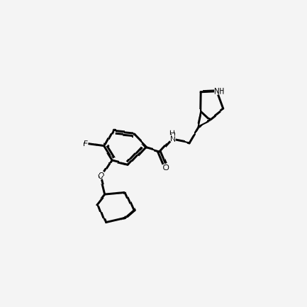 O=C(NCC1C2CNCC21)c1ccc(F)c(OC2CCCCC2)c1